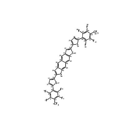 Fc1c(F)c(C(F)(F)F)c(F)c(F)c1-c1ccc(-c2cc3cc4cc5cc(-c6ccc(-c7c(F)c(F)c(C(F)(F)F)c(F)c7F)s6)sc5cc4cc3s2)s1